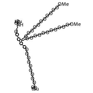 COCCOCCOCCOCCOCCOCCOCCOCCOCCOCCOCCOCCCC1(CCCOCCOCCOCCOCCOCCOCCOCCOCCOCCOCCOCCOC)c2cc(-c3ccc(OCCCCNC(=O)OC(C)(C)C)cc3)ccc2-c2ccc(-c3ccc(OCCOCCOCCOCCOCCOCCOCCOCCOCCC(=O)OC(C)(C)C)cc3)cc21